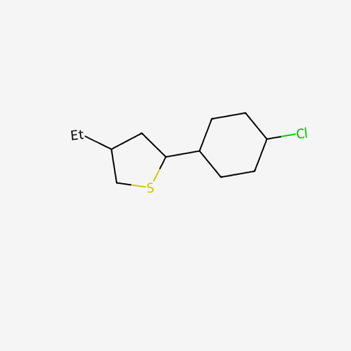 CCC1CSC(C2CCC(Cl)CC2)C1